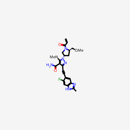 C=CC(=O)N1C[C@@H](n2nc(C#Cc3cc4nc(C)[nH]c4cc3F)c(C(N)=O)c2NC)C[C@@H]1COC